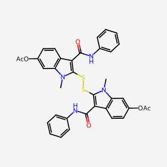 CC(=O)Oc1ccc2c(C(=O)Nc3ccccc3)c(SSc3c(C(=O)Nc4ccccc4)c4ccc(OC(C)=O)cc4n3C)n(C)c2c1